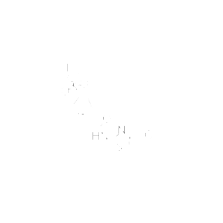 CS(=O)(=O)c1ccc(C(CC2CCCC2)C(=O)Nc2nc(CO)cs2)cc1